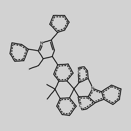 CCC1C(c2ccccc2)=NC(c2ccccc2)=CC1c1ccc2c(c1)C(C)(C)c1ccccc1C21c2ccccc2-n2c3ccccc3c3cccc1c32